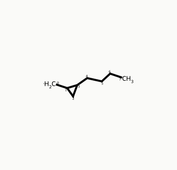 [CH2]C1CC1CCCC